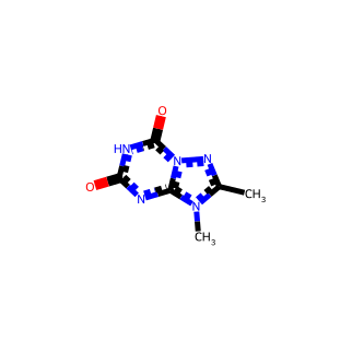 Cc1nn2c(=O)[nH]c(=O)nc2n1C